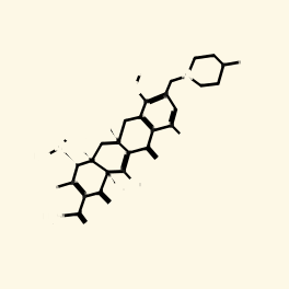 COc1c(CN2CCC(C)CC2)cc(O)c2c1C[C@H]1C[C@H]3[C@H](N(C)C)C(O)=C(C(N)=O)C(=O)[C@@]3(O)C(O)=C1C2=O